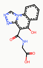 O=C(O)CNC(=O)c1c(O)c2ccccc2n2cnnc12